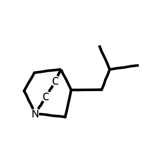 CC(C)CC1CN2CCC1CC2